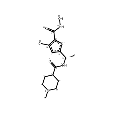 C[C@H](NC(=O)C1CCN(C)CC1)c1cc(Cl)c(C(=O)NO)s1